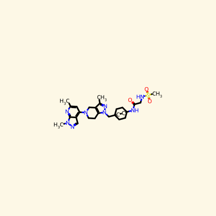 Cc1cc(N2CCc3c(c(C)nn3CC34CCC(NC(=O)CNS(C)(=O)=O)(CC3)CC4)C2)c2cnn(C)c2n1